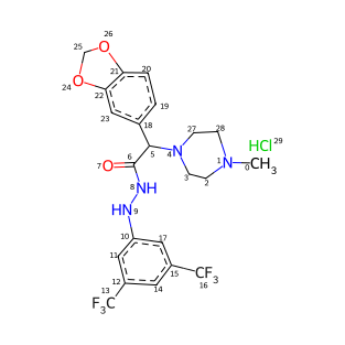 CN1CCN(C(C(=O)NNc2cc(C(F)(F)F)cc(C(F)(F)F)c2)c2ccc3c(c2)OCO3)CC1.Cl